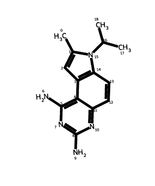 Cc1cc2c3c(N)nc(N)nc3ccc2n1C(C)C